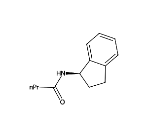 CCCC(=O)N[C@@H]1CCc2ccccc21